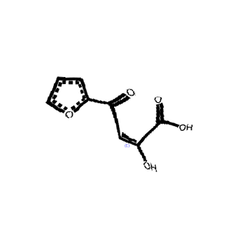 O=C(O)/C(O)=C\C(=O)c1ccco1